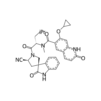 CC(C)C[C@@H](C(=O)N1C[C@]2(C[C@H]1C#N)C(=O)Nc1ccccc12)N(C)C(=O)c1cc2ccc(=O)[nH]c2cc1OC1CC1